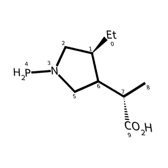 CC[C@@H]1CN(P)CC1[C@H](C)C(=O)O